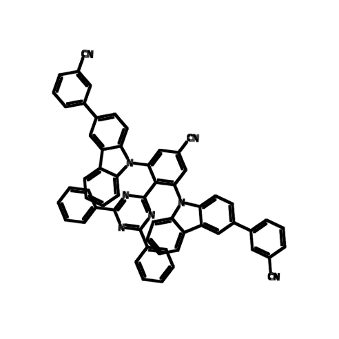 N#Cc1cccc(-c2ccc3c(c2)c2ccccc2n3-c2cc(C#N)cc(-n3c4ccccc4c4cc(-c5cccc(C#N)c5)ccc43)c2-c2nc(-c3ccccc3)nc(-c3ccccc3)n2)c1